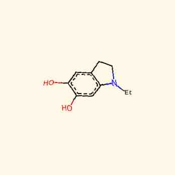 CCN1CCc2cc(O)c(O)cc21